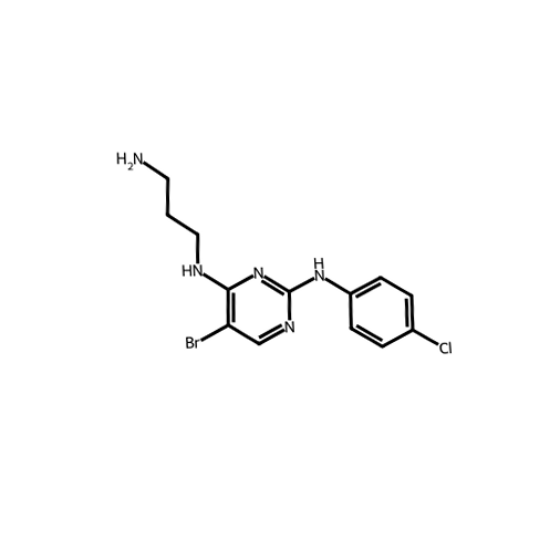 NCCCNc1nc(Nc2ccc(Cl)cc2)ncc1Br